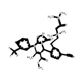 COC(=O)C1=C(C)N(c2cccc(C(F)(F)F)c2)c2n[nH]c(=O)n2C1c1ccc(C#N)cc1CC[N+](C)(C)CC(=O)N(C)C